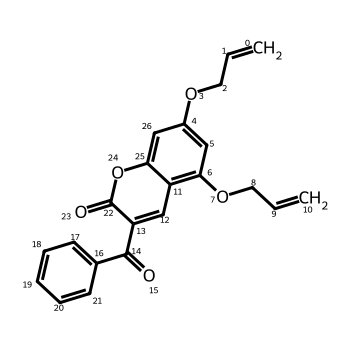 C=CCOc1cc(OCC=C)c2cc(C(=O)c3ccccc3)c(=O)oc2c1